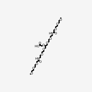 COCCOCCOCC(=O)NCCOCCOCC(COCCOCCNC(=O)COCCOCCOC)OCC(=O)O